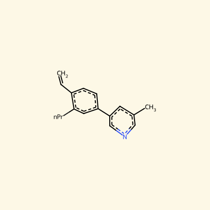 C=Cc1ccc(-c2cncc(C)c2)cc1CCC